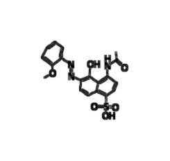 COc1ccccc1N=Nc1ccc2c(S(=O)(=O)O)ccc(NC(C)=O)c2c1O